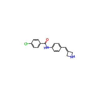 O=C(Nc1ccc(C=C2CNC2)cc1)c1ccc(Cl)cc1